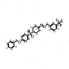 O=S(=O)(c1ccc(OCc2ccccc2)nc1)N1CCC(=NOCc2cccc(C(F)(F)F)c2)CC1